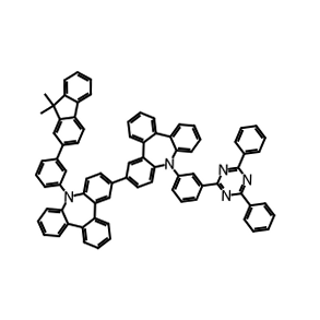 CC1(C)c2ccccc2-c2ccc(-c3cccc(N4c5ccccc5-c5ccccc5-c5cc(-c6ccc7c(c6)-c6ccccc6-c6ccccc6N7c6cccc(-c7nc(-c8ccccc8)nc(-c8ccccc8)n7)c6)ccc54)c3)cc21